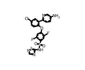 Nc1ccc(-c2cc(Cl)ccc2Oc2cc(F)c(S(=O)(=O)Nc3ncns3)cc2F)nc1